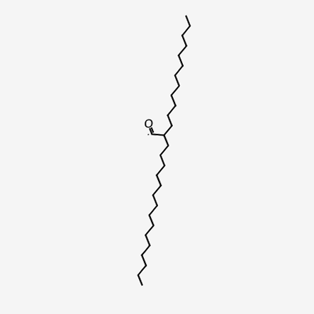 CCCCCCCCCCCCCCCC([C]=O)CCCCCCCCCCCC